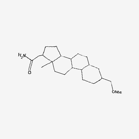 COCC1CCC2C(CCC3C2CCC2(C)C(C(N)=O)CCC32)C1